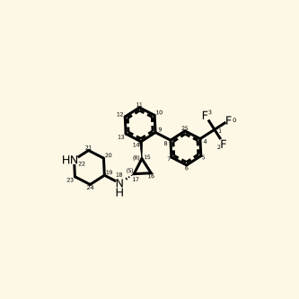 FC(F)(F)c1cccc(-c2ccccc2[C@H]2C[C@@H]2NC2CCNCC2)c1